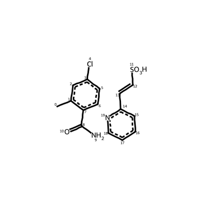 Cc1cc(Cl)ccc1C(N)=O.O=S(=O)(O)/C=C/c1ccccn1